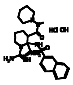 CN(C(=O)C1CCCN(C(=N)N)C1(NS(=O)(=O)c1ccc2ccccc2c1)C(N)=O)N1CCCCC1.Cl.Cl